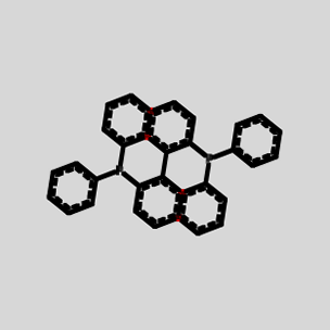 [c]1cccc(P(c2ccccc2)c2ccccc2)c1-c1[c]cccc1P(c1ccccc1)c1ccccc1